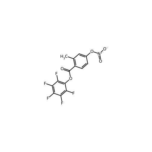 Cc1cc(O[N+](=O)[O-])ccc1C(=O)Oc1c(F)c(F)c(F)c(F)c1F